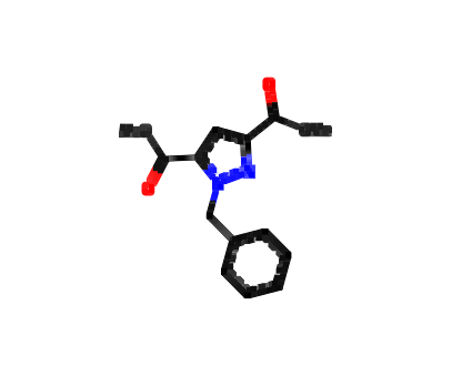 COC(=O)c1cc(C(=O)OC)n(Cc2ccccc2)n1